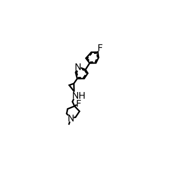 CN1CCC(F)(CNC2CC2c2ccc(-c3ccc(F)cc3)nc2)CC1